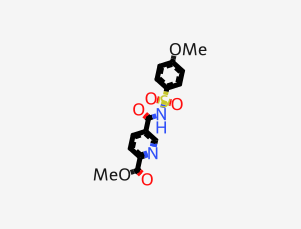 COC(=O)c1ccc(C(=O)NS(=O)(=O)c2ccc(OC)cc2)cn1